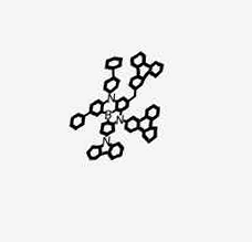 c1ccc(-c2ccc(N3c4ccc(-c5ccccc5)cc4B4c5ccc(-n6c7ccccc7c7ccccc76)cc5N(c5ccc6c7ccccc7c7ccccc7c6c5)c5cc(Cc6ccc7c8ccccc8c8ccccc8c7c6)cc3c54)cc2)cc1